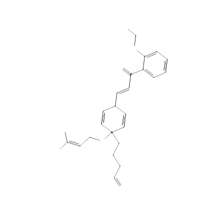 C=CCCCC1(OCC=C(C)C)C=CC(/C=C/C(=O)c2ccccc2OCC(=O)O)C=C1